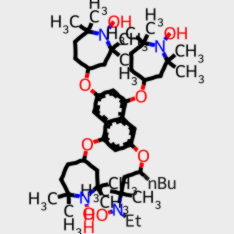 CCCCC(CC(C)(C)N(O)CC)Oc1cc(OC2CCC(C)(C)N(O)C(C)(C)C2)c2cc(OC3CCC(C)(C)N(O)C(C)(C)C3)cc(OC3CCC(C)(C)N(O)C(C)(C)C3)c2c1